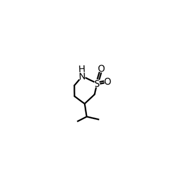 CC(C)C1CCNS(=O)(=O)C1